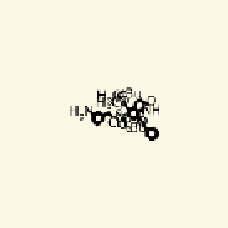 CC(Cc1cccc(N)c1)N(C[C@H](O[Si](C)(C)C(C)(C)C)c1ccc(OCc2ccccc2)c2[nH]c(=O)ccc12)C(=O)OC(C)(C)C